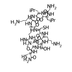 CC(C)C[C@H](NC(=O)CN)C(=O)N[C@@H](CC(C)C)C(=O)N[C@@H](CCCCN)C(=O)N[C@@H](CCCNC(=N)N)C(=O)N[C@@H](CS)C(=O)N[C@@H](CCCCN)C(=O)N[C@H](C(=O)N[C@@H](CC(C)C)C(=O)N[C@@H](CS)C(N)=O)[C@@H](C)O